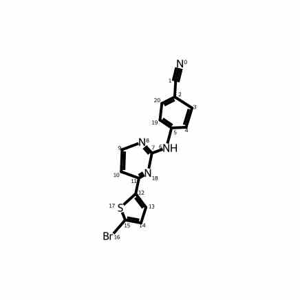 N#Cc1ccc(Nc2nccc(-c3ccc(Br)s3)n2)cc1